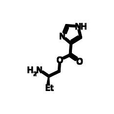 CC[C@@H](N)COC(=O)c1c[nH]cn1